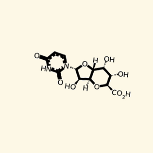 O=C(O)[C@H]1O[C@H]2[C@@H](O)[C@H](n3ccc(=O)[nH]c3=O)O[C@@H]2[C@H](O)[C@@H]1O